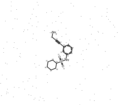 NCC#Cc1cccc(NS(=O)(=O)C2CCCCC2)c1